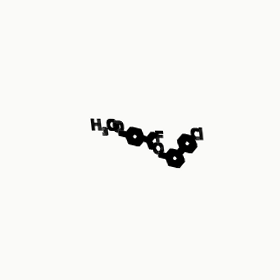 COCc1ccc(C(CF)COCc2cccc(-c3ccc(Cl)cc3)c2)cc1